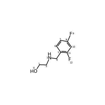 OCCNCc1ccc(F)cc1F